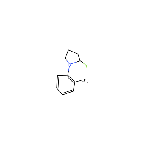 Cc1[c]cccc1N1CCCC1F